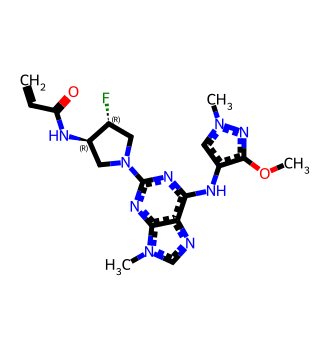 C=CC(=O)N[C@@H]1CN(c2nc(Nc3cn(C)nc3OC)c3ncn(C)c3n2)C[C@H]1F